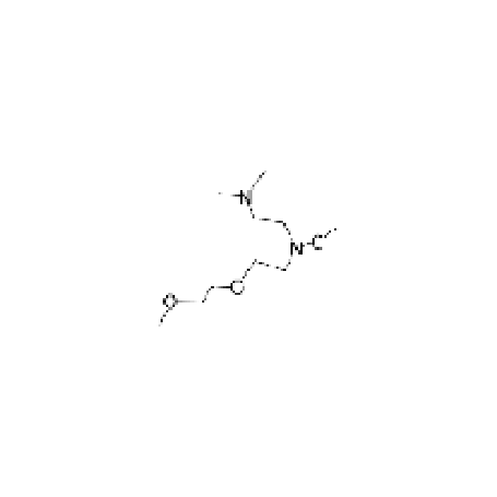 CCN(CCOCCOC)CCN(C)C